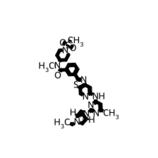 CCN1C[C@@H]2C[C@H]1CN2c1nc(C)cc(Nc2cc3nc(-c4cccc(C(=O)N(C)C5CCN(S(C)(=O)=O)CC5)c4)sc3cn2)n1